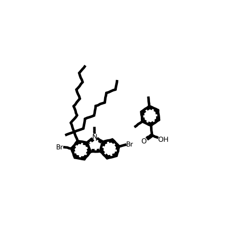 CCCCCCCCC(C)(CCCCCCCC)c1c(Br)ccc2c3ccc(Br)cc3n(C)c12.Cc1ccc(C(=O)O)c(C)c1